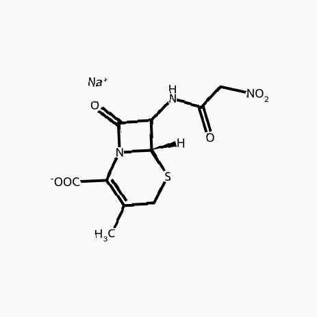 CC1=C(C(=O)[O-])N2C(=O)C(NC(=O)C[N+](=O)[O-])[C@@H]2SC1.[Na+]